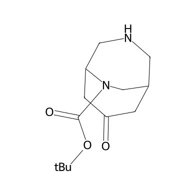 CC(C)(C)OC(=O)N1CC2CNCC1CC(=O)C2